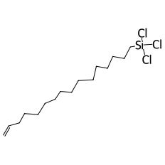 C=CCCCCCCCCCCCCCC[Si](Cl)(Cl)Cl